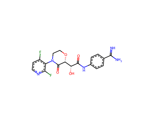 N=C(N)c1ccc(NC(=O)[C@H](O)[C@H]2OCCN(c3c(F)ccnc3F)C2=O)cc1